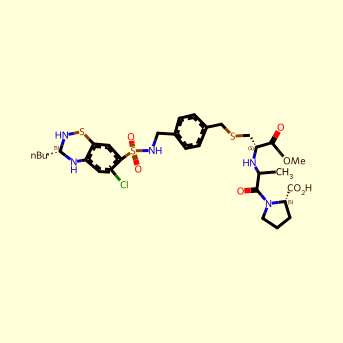 CCCC[C@@H]1NSc2cc(S(=O)(=O)NCc3ccc(CSC[C@@H](NC(C)C(=O)N4CCC[C@H]4C(=O)O)C(=O)OC)cc3)c(Cl)cc2N1